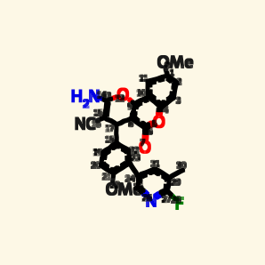 COc1ccc2oc(=O)c3c(c2c1)OC(N)=C(C#N)C3c1ccc(OC)c(-c2cnc(F)c(C)c2)c1